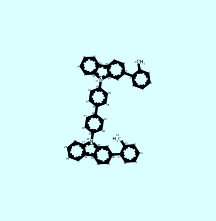 Cc1ccccc1-c1ccc2c3ccccc3n(-c3ccc(-c4ccc(-n5c6ccccc6c6ccc(-c7ccccc7C)cc65)cc4)cc3)c2c1